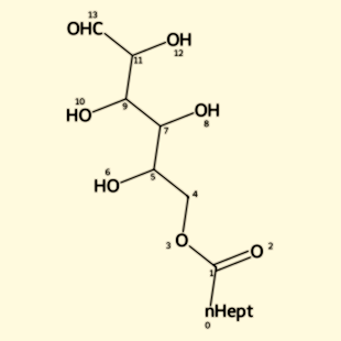 CCCCCCCC(=O)OCC(O)C(O)C(O)C(O)C=O